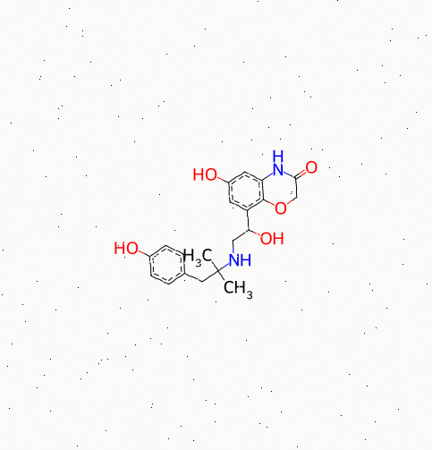 CC(C)(Cc1ccc(O)cc1)NCC(O)c1cc(O)cc2c1OCC(=O)N2